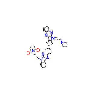 O=C1CCCC(=O)N1CCCn1c2ccccc2c2nc3ccccc3nc21.c1ccc2nc3c(nc2c1)c1ccccc1n3CCCN1CCCCC1